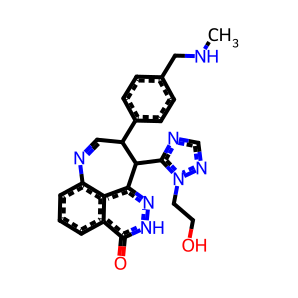 CNCc1ccc(C2C=Nc3cccc4c(=O)[nH]nc(c34)C2c2ncnn2CCO)cc1